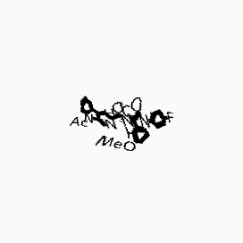 COc1ccc2c(c1)C(C)(NC(=O)c1cc3c4ccccc4n(C(C)=O)c3cn1)C(=O)N2c1ccc(F)cc1